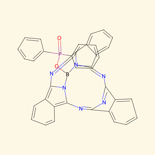 O=P(OB1n2c3c4ccccc4c2/N=C2N=C(/N=c4/c5ccccc5c(n41)=N3)c1ccccc1\2)(c1ccccc1)c1ccccc1